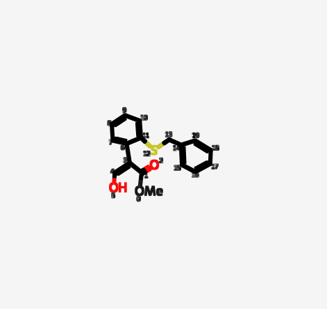 COC(=O)C(=CO)c1ccccc1SCc1ccccc1